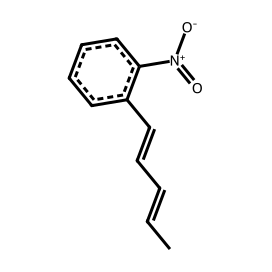 CC=CC=Cc1ccccc1[N+](=O)[O-]